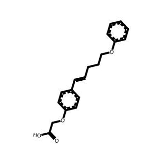 O=C(O)COc1ccc(C=CCCCOc2ccccc2)cc1